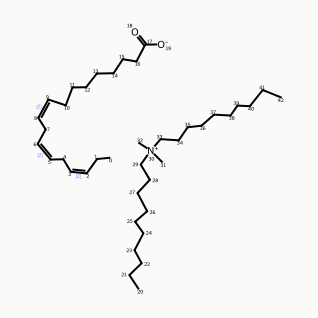 CC/C=C\C/C=C\C/C=C\CCCCCCCC(=O)[O-].CCCCCCCCCC[N+](C)(C)CCCCCCCCCC